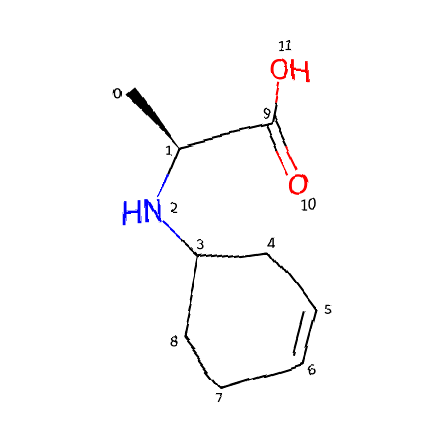 C[C@H](NC1CC=CCC1)C(=O)O